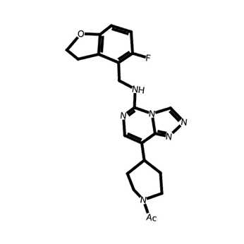 CC(=O)N1CCC(c2cnc(NCc3c(F)ccc4c3CCO4)n3cnnc23)CC1